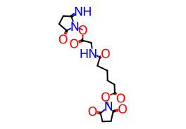 N=C1CCC(=O)N1OC(=O)CNC(=O)CCCCC(=O)ON1C(=O)CCC1=O